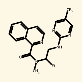 CCC(CNc1ncc(C(F)(F)F)cn1)N(C)C(=O)c1nccc2ccccc12